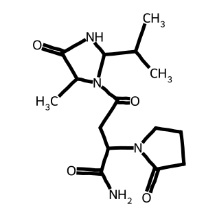 CC(C)C1NC(=O)C(C)N1C(=O)CC(C(N)=O)N1CCCC1=O